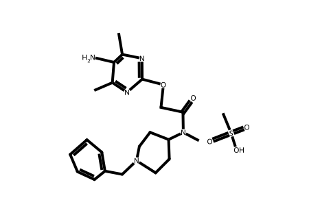 CS(=O)(=O)O.Cc1nc(OCC(=O)N(C)C2CCN(Cc3ccccc3)CC2)nc(C)c1N